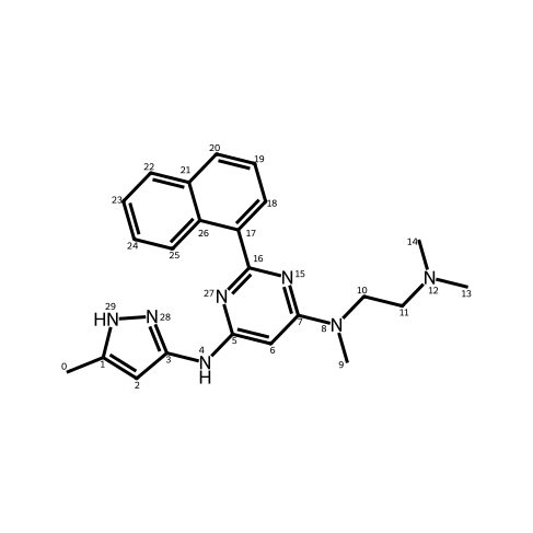 Cc1cc(Nc2cc(N(C)CCN(C)C)nc(-c3cccc4ccccc34)n2)n[nH]1